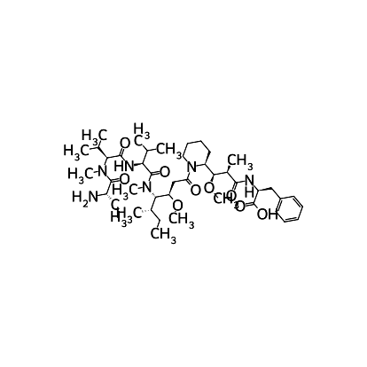 CC[C@H](C)[C@@H]([C@@H](CC(=O)N1CCCC[C@H]1[C@H](OC)[C@@H](C)C(=O)N[C@@H](Cc1ccccc1)C(=O)O)OC)N(C)C(=O)[C@@H](NC(=O)[C@H](C(C)C)N(C)C(=O)[C@H](C)N)C(C)C